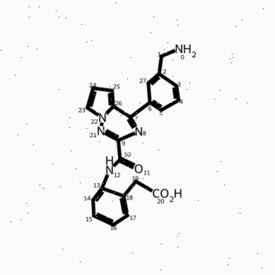 NCc1cccc(-c2nc(C(=O)Nc3ccccc3CC(=O)O)nn3cccc23)c1